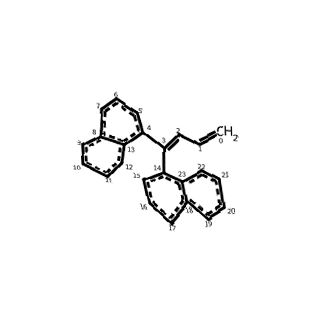 C=CC=C(c1cccc2ccccc12)c1cccc2ccccc12